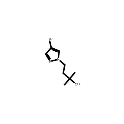 CC(C)c1cnn(CCC(C)(C)O)c1